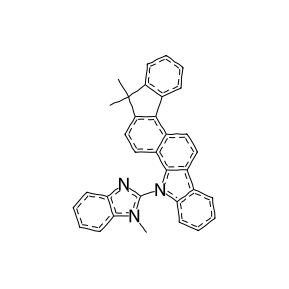 Cn1c(-n2c3ccccc3c3ccc4c5c(ccc4c32)C(C)(C)c2ccccc2-5)nc2ccccc21